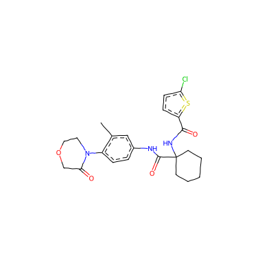 Cc1cc(NC(=O)C2(NC(=O)c3ccc(Cl)s3)CCCCC2)ccc1N1CCOCC1=O